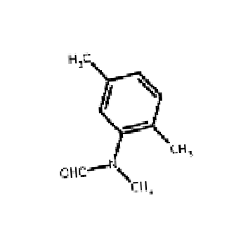 Cc1ccc(C)c(N(C)C=O)c1